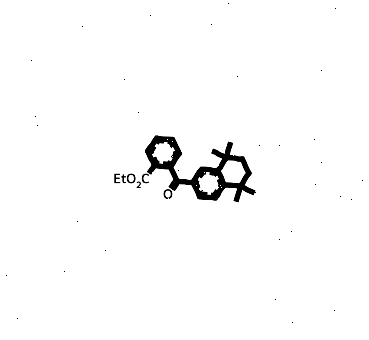 CCOC(=O)c1ccccc1C(=O)c1ccc2c(c1)C(C)(C)CCC2(C)C